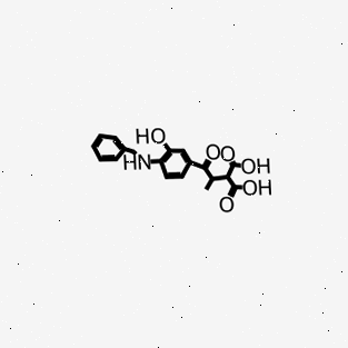 CC(C(=O)c1ccc(NCc2ccccc2)c(O)c1)C(C(=O)O)C(=O)O